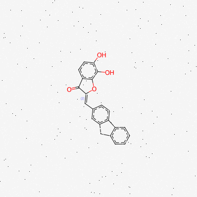 O=C1/C(=C/c2ccc3c(c2)Cc2ccccc2-3)Oc2c1ccc(O)c2O